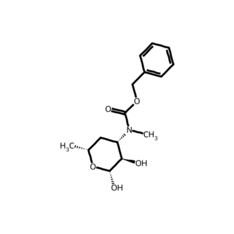 C[C@@H]1C[C@H](N(C)C(=O)OCc2ccccc2)[C@@H](O)[C@H](O)O1